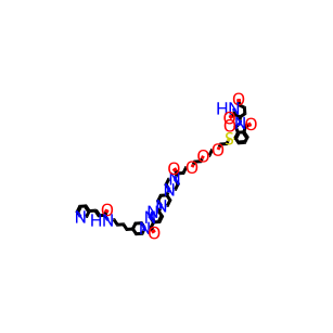 O=C(/C=C/c1cccnc1)NCCCCC1CCN(C(=O)c2ccc(N3CCC(N4CCN(C(=O)CCOCCOCCOCCSc5cccc6c5C(=O)N(C5CCC(=O)NC5=O)C6=O)CC4)CC3)nn2)CC1